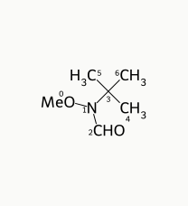 CON(C=O)C(C)(C)C